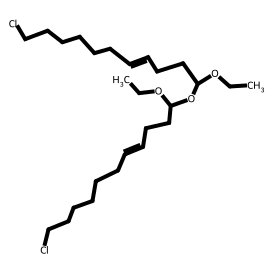 CCOC(CCC=CCCCCCCCl)OC(CCC=CCCCCCCCl)OCC